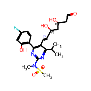 CC(C)c1nc(N(C)S(C)(=O)=O)nc(-c2ccc(F)cc2O)c1/C=C/[C@@H](O)C[C@@H](O)CC=O